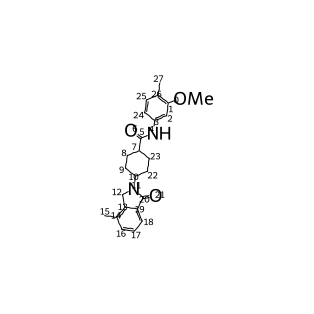 COc1cc(NC(=O)C2CCC(N3Cc4c(C)cccc4C3=O)CC2)ccc1C